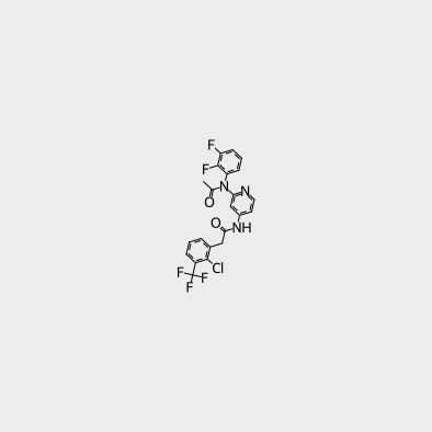 CC(=O)N(c1cc(NC(=O)Cc2cccc(C(F)(F)F)c2Cl)ccn1)c1cccc(F)c1F